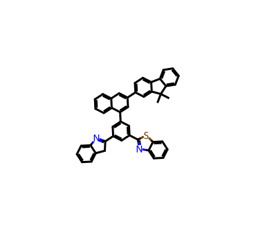 CC1(C)c2ccccc2-c2ccc(-c3cc(-c4cc(C5=Nc6ccccc6C5)cc(-c5nc6ccccc6s5)c4)c4ccccc4c3)cc21